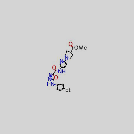 CCc1ccc(Nc2nnc(C(=O)Nc3ccc(N4CCC(C(=O)OC)CC4)nc3)o2)cc1